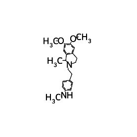 CNc1ccc(CCN2CCc3cc(OC)c(OC)cc3C2C)cc1